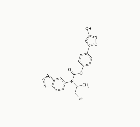 CC(CS)N(C(=O)Oc1ccc(-c2cc(O)no2)cc1)c1ccc2ncsc2c1